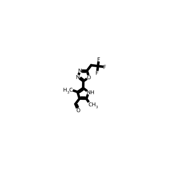 Cc1[nH]c(-c2nnc(CC(F)(F)F)o2)c(C)c1C=O